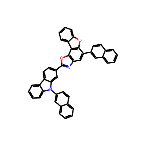 c1ccc2cc(-c3cc4nc(-c5ccc6c7ccccc7n(-c7ccc8ccccc8c7)c6c5)oc4c4c3oc3ccccc34)ccc2c1